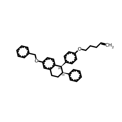 C=CCCCOc1ccc([C@@H]2c3ccc(OCc4ccccc4)cc3CC[C@@H]2c2ccccc2)cc1